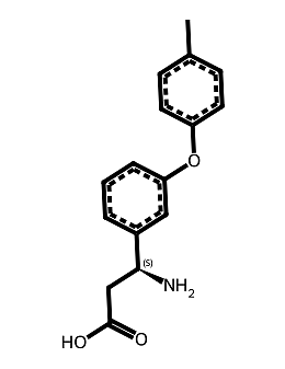 Cc1ccc(Oc2cccc([C@@H](N)CC(=O)O)c2)cc1